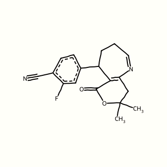 CC1(C)CC2=C(C(=O)O1)C(c1ccc(C#N)c(F)c1)CCC=N2